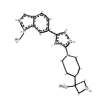 COC1(C2CCN(c3nc(-c4ccc5cnn(C(C)C)c5c4)no3)CC2)COC1